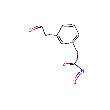 O=CCc1cccc(CC(=O)N=O)c1